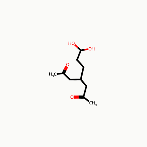 CC(=O)CC(CCC(O)O)CC(C)=O